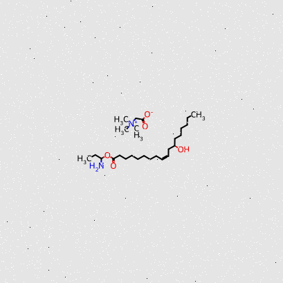 CCCCCC[C@@H](O)C/C=C\CCCCCCCC(=O)OC(N)CC.C[N+](C)(C)CC(=O)[O-]